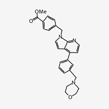 COC(=O)c1ccc(Cn2ccc3c(-c4cccc(CN5CCOCC5)c4)ccnc32)cc1